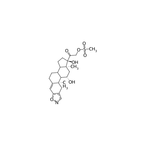 C[C@]12Cc3cnoc3C=C1CCC1C2[C@@H](O)C[C@@]2(C)C1CC[C@]2(O)C(=O)COS(C)(=O)=O